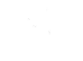 O=C(O)CN(Cc1ccccc1)NC(=O)NCc1ccccc1